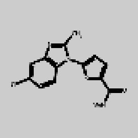 CNC(=O)c1ccc(-n2c(C)nc3cc(Cl)ccc32)s1